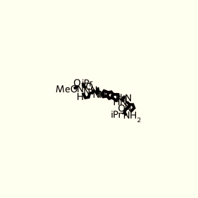 COC(=O)NC(C(=O)N1CCCC1c1ncc(N2Cc3cc4c(cc3C2)CN(c2cnc(C3CCCN3C(=O)[C@@H](N)C(C)C)[nH]2)C4)[nH]1)C(C)C